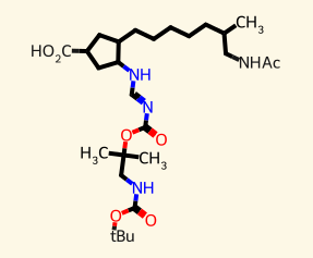 CC(=O)NCC(C)CCCCCC1CC(C(=O)O)CC1NC=NC(=O)OC(C)(C)CNC(=O)OC(C)(C)C